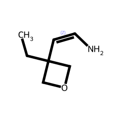 CCC1(/C=C\N)COC1